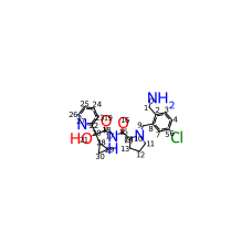 NCc1ccc(Cl)cc1CN1CCC[C@H]1C(=O)NC(=O)C(O)(c1ccccn1)C1CC1